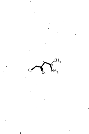 C[C@H](N)CC(=O)CCl